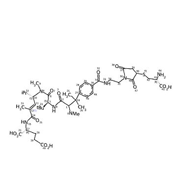 CNC(C(=O)N[C@H](C(=O)N(C)[C@H](/C=C(\C)C(=O)N[C@H](CCC(=O)O)C(=O)O)C(C)C)C(C)(C)C)C(C)(C)c1ccc(C(=O)NCCN2C(=O)CC(SC[C@H](N)C(=O)O)C2=O)cc1